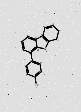 Brc1ccc(-c2cccc3c4c(sc23)CCC=C4)cc1